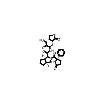 O=C1CC[C@@](C(=O)N2C[C@H]3CCC[C@H]3[C@H]2C(=O)N[C@H](C[C@@H]2CCNC2=O)C(=O)CO)(c2ccccc2)N1